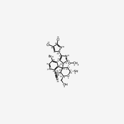 CO[C@@H]1[C@H](S)O[C@@H](CO)[C@@H](O)[C@@]1(c1cc(Br)cnc1C#N)n1cc(-n2cc(Cl)c(Cl)n2)nn1